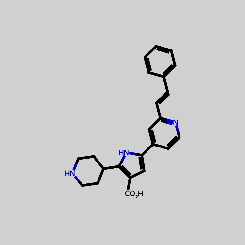 O=C(O)c1cc(-c2ccnc(C=Cc3ccccc3)c2)[nH]c1C1CCNCC1